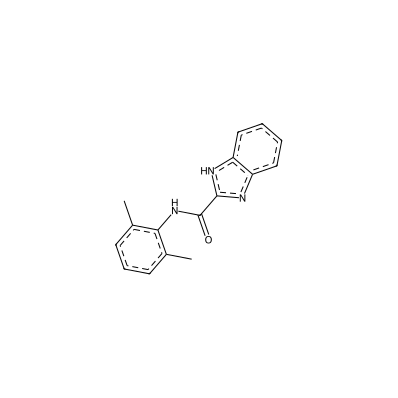 Cc1cccc(C)c1NC(=O)c1nc2ccccc2[nH]1